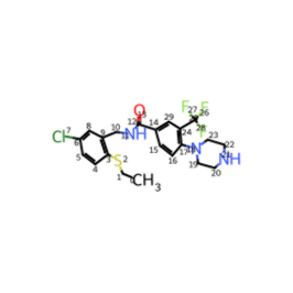 CCSc1ccc(Cl)cc1CNC(=O)c1ccc(N2CCNCC2)c(C(F)(F)F)c1